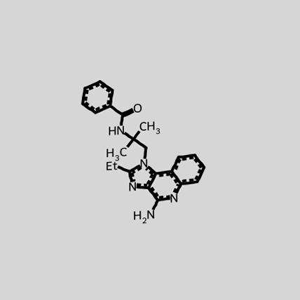 CCc1nc2c(N)nc3ccccc3c2n1CC(C)(C)NC(=O)c1ccccc1